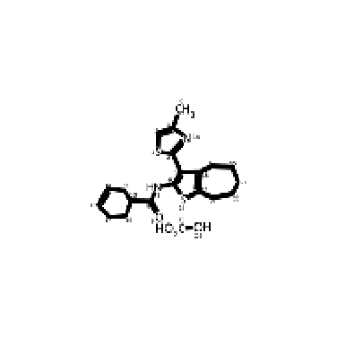 Cc1csc(-c2c(NC(=O)C3CC=CCC3)sc3c2CCCCC3)n1.O=C(O)O